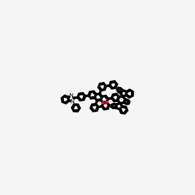 c1ccc(-c2cccc(-c3c4cc(-c5ccc6c(c5)C5(c7ccccc7-c7ccccc75)c5ccccc5C65c6ccccc6-c6ccccc65)ccc4c(-c4ccccc4-c4ccccc4)c4cc(-c5ccc(-c6nc7ccccc7n6-c6ccccc6)cc5)ccc34)c2)cc1